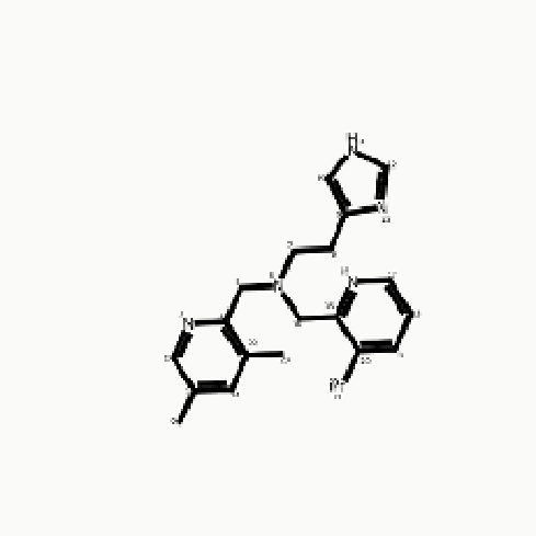 Cc1cnc(CN(CCc2c[nH]cn2)Cc2ncccc2C(C)C)c(C)c1